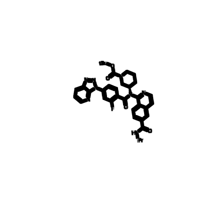 CC(C)NC(=O)c1ccc2c(N(C(=O)c3ccc(-n4nnc5cccnc54)cc3F)[C@@H]3CCCN(C(=O)OC(C)(C)C)C3)nccc2c1